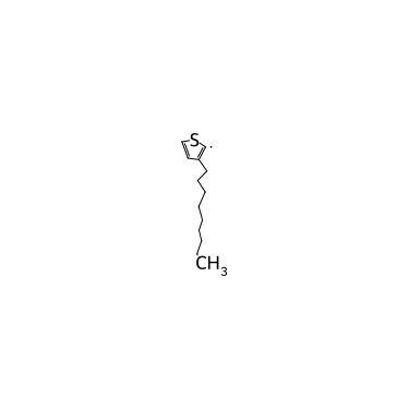 CCCCCCCCCc1[c]scc1